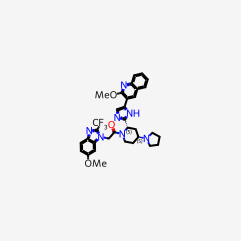 COc1ccc2nc(C(F)(F)F)n(CC(=O)N3CC[C@H](N4CCCC4)C[C@H]3c3ncc(-c4cc5ccccc5nc4OC)[nH]3)c2c1